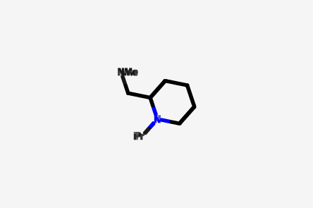 CNCC1CCCCN1C(C)C